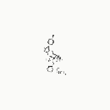 CCC1=Cc2c(cnn2-c2ccc(F)cc2)CC1(C)[C@](C)(O)CCc1ccccc1C(=O)OC